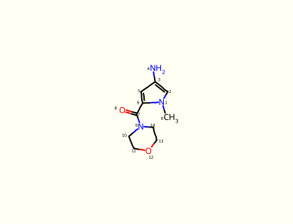 Cn1cc(N)cc1C(=O)N1CCOCC1